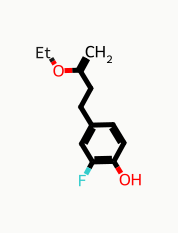 C=C(CCc1ccc(O)c(F)c1)OCC